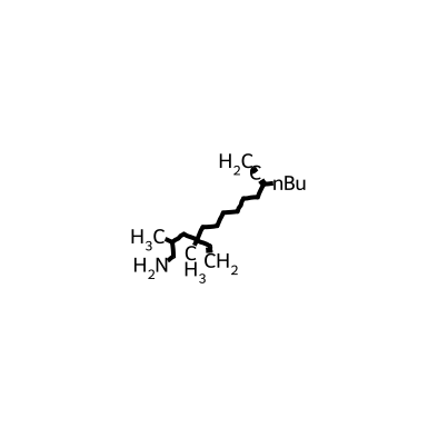 C=C=C(CCCC)CCCCCCC(C)(C=C)CC(C)CN